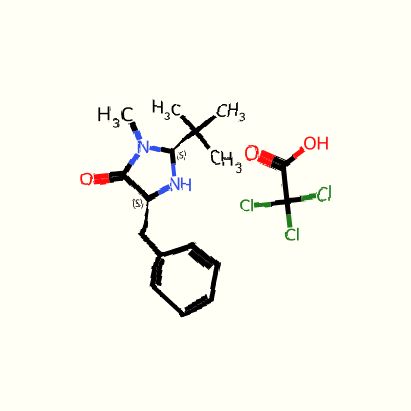 CN1C(=O)[C@H](Cc2ccccc2)N[C@@H]1C(C)(C)C.O=C(O)C(Cl)(Cl)Cl